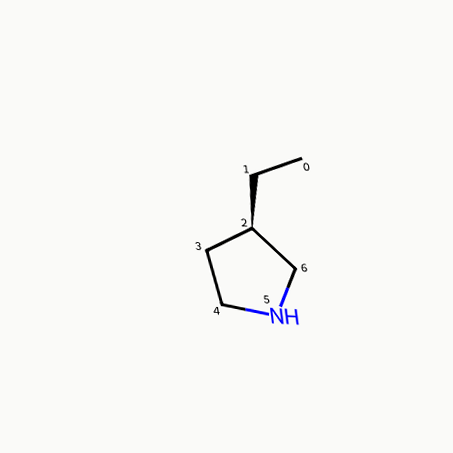 CC[C@@H]1CCNC1